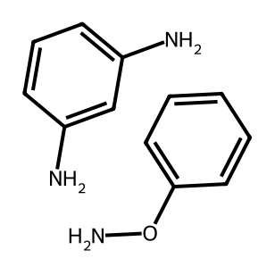 NOc1ccccc1.Nc1cccc(N)c1